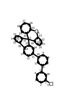 Clc1cccc(-c2cccc(-c3ccc4c(c3)C3(c5ccccc5Oc5ccccc53)c3ccccc3-4)c2)c1